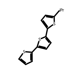 CC(C)c1ccc(-c2ccc(-c3cccs3)s2)s1